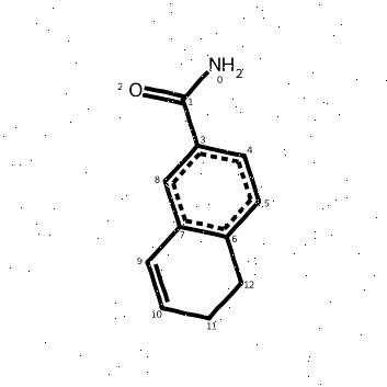 NC(=O)c1ccc2c(c1)C=CCC2